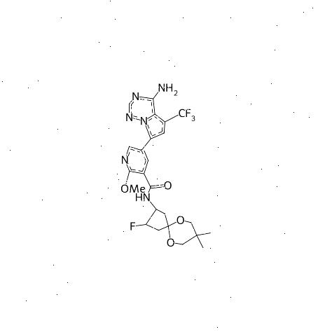 COc1ncc(-c2cc(C(F)(F)F)c3c(N)ncnn23)cc1C(=O)NC1CC2(CC1F)OCC(C)(C)CO2